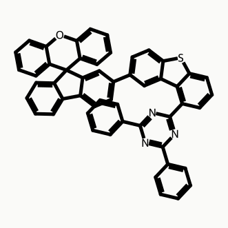 c1ccc(-c2nc(-c3ccccc3)nc(-c3cccc4sc5ccc(-c6ccc7c(c6)C6(c8ccccc8Oc8ccccc86)c6ccccc6-7)cc5c34)n2)cc1